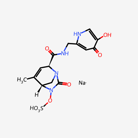 CC1=C[C@@H](C(=O)NCc2cc(=O)c(O)c[nH]2)N2C[C@@H]1N(OS(=O)(=O)O)C2=O.[Na]